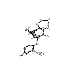 CCc1c(Oc2cnc(N)nc2N)cc(Br)c2c1OCCO2